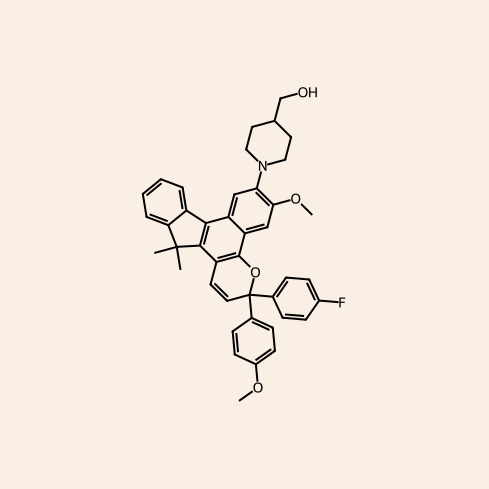 COc1ccc(C2(c3ccc(F)cc3)C=Cc3c4c(c5cc(N6CCC(CO)CC6)c(OC)cc5c3O2)-c2ccccc2C4(C)C)cc1